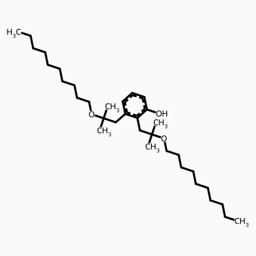 CCCCCCCCCCOC(C)(C)Cc1cccc(O)c1CC(C)(C)OCCCCCCCCCC